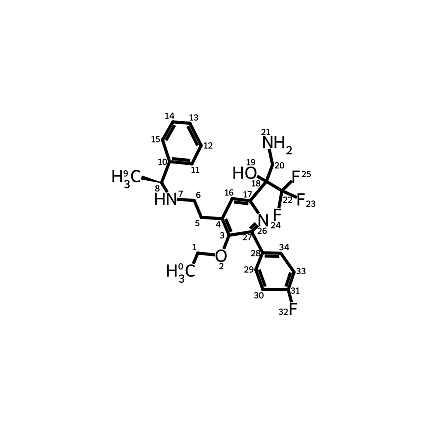 CCOc1c(CCN[C@@H](C)c2ccccc2)cc(C(O)(CN)C(F)(F)F)nc1-c1ccc(F)cc1